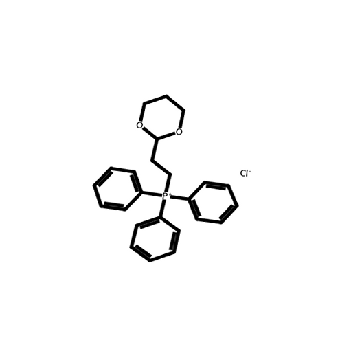 [Cl-].c1ccc([P+](CCC2OCCCO2)(c2ccccc2)c2ccccc2)cc1